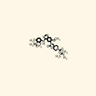 COc1cc2ncnc(Nc3ccc(C)c(N(C)C)c3F)c2cc1N1CC2(CCN(C(=O)OC(C)(C)C)CC2)OC1=O